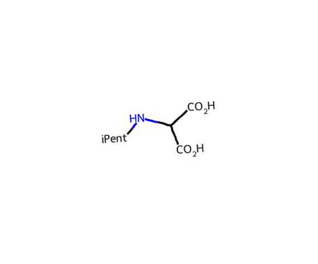 CCCC(C)NC(C(=O)O)C(=O)O